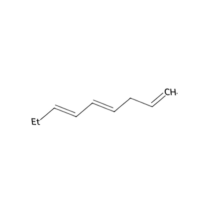 [CH]=CC/C=C/C=C/C[CH2]